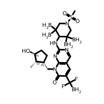 BC(F)(F)c1cc2cnc(NC3C(B)(B)CN(S(C)(=O)=O)CC3(B)B)nc2n(C[C@H]2CC[C@H](O)[C@H]2C)c1=O